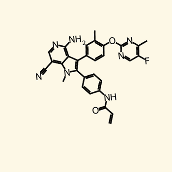 C=CC(=O)Nc1ccc(-c2c(-c3ccc(Oc4ncc(F)c(C)n4)c(C)c3)c3c(N)ncc(C#N)c3n2C)cc1